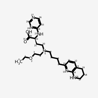 CCOCCN(CCCCc1ccc2c(n1)NCCC2)CC[C@H](Nc1ccncn1)C(=O)O